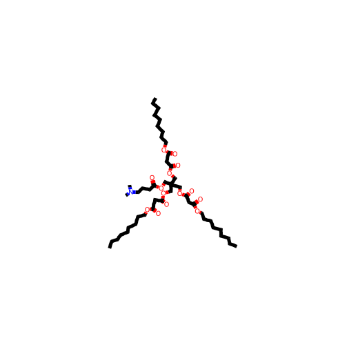 CCCCCCCCCOC(=O)CC(=O)OCC(COC(=O)CCCN(C)C)(COC(=O)CC(=O)OCCCCCCCCC)COC(=O)CC(=O)OCCCCCCCCC